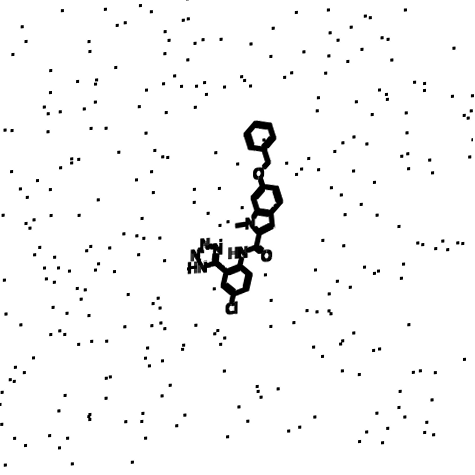 Cn1c(C(=O)Nc2ccc(Cl)cc2-c2nnn[nH]2)cc2ccc(OCc3ccccc3)cc21